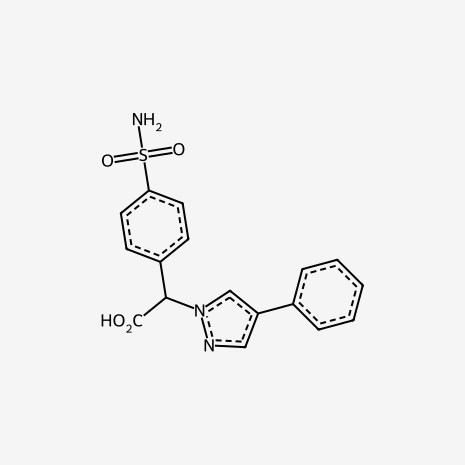 NS(=O)(=O)c1ccc(C(C(=O)O)n2cc(-c3ccccc3)cn2)cc1